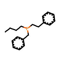 CCCCP(CCc1ccccc1)Cc1ccccc1